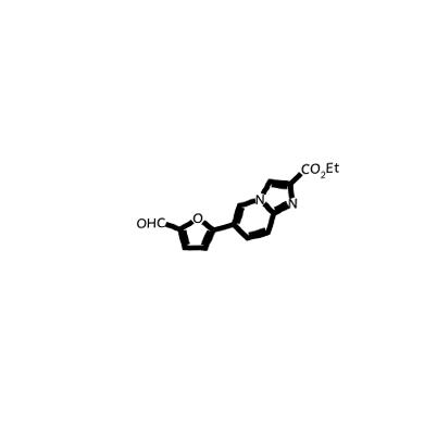 CCOC(=O)c1cn2cc(-c3ccc(C=O)o3)ccc2n1